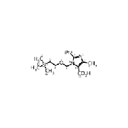 Cc1nc(C(C)C)n(COCC[Si](C)(C)C)c1C(=O)O